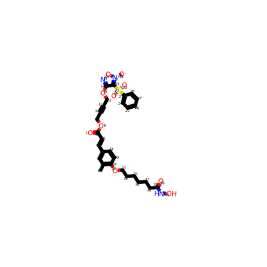 Cc1cc(C=CC(=O)OCC#CCOc2no[n+]([O-])c2S(=O)(=O)c2ccccc2)ccc1OCCCCCCC(=O)NO